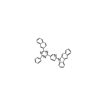 c1ccc(-c2nc(-c3ccc(-n4c5ccccc5c5cc6ccccc6cc54)nc3)nc(-c3ccc4ccccc4c3)n2)cc1